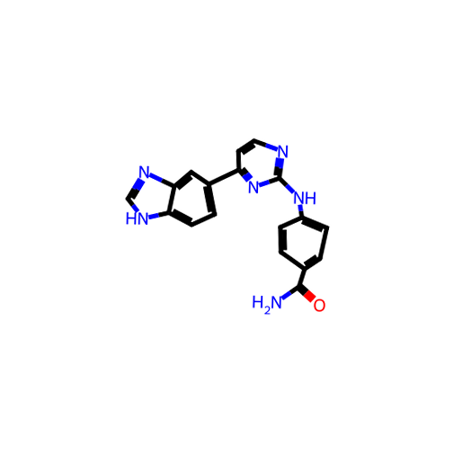 NC(=O)c1ccc(Nc2nccc(-c3ccc4[nH]cnc4c3)n2)cc1